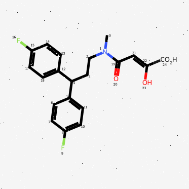 CN(CCC(c1ccc(F)cc1)c1ccc(F)cc1)C(=O)/C=C(\O)C(=O)O